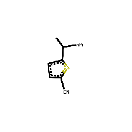 CCCC(C)c1ccc(C#N)s1